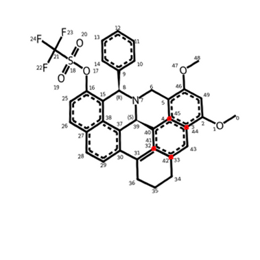 COc1ccc(CN2[C@H](c3ccccc3)c3c(OS(=O)(=O)C(F)(F)F)ccc4ccc(C5=CCCCC5)c(c34)[C@@H]2c2ccccc2)c(OC)c1